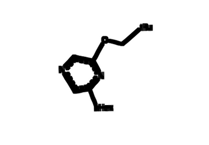 CCCCCCc1cncc(OCC(C)(C)C)n1